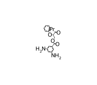 CC(C)C(=O)C(COC(=O)c1cc(N)cc(N)c1)Oc1ccccc1